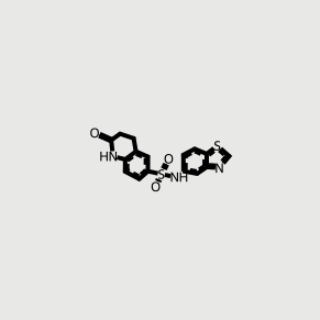 O=C1CCc2cc(S(=O)(=O)Nc3ccc4scnc4c3)ccc2N1